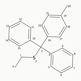 CCSC(c1ccccc1)(c1ccccc1)c1ccc(C)cc1